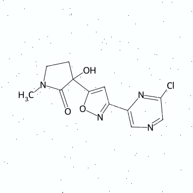 CN1CCC(O)(c2cc(-c3cncc(Cl)n3)no2)C1=O